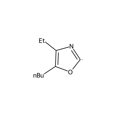 CCCCc1o[c]nc1CC